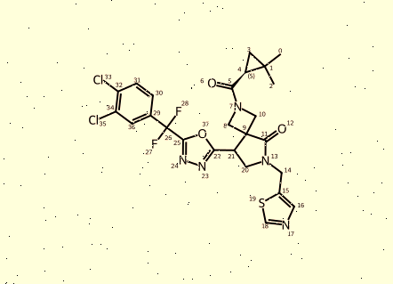 CC1(C)C[C@@H]1C(=O)N1CC2(C1)C(=O)N(Cc1cncs1)CC2c1nnc(C(F)(F)c2ccc(Cl)c(Cl)c2)o1